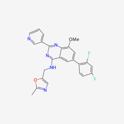 COc1cc(-c2ccc(F)cc2F)cc2c(NCc3cnc(C)o3)nc(-c3cccnc3)nc12